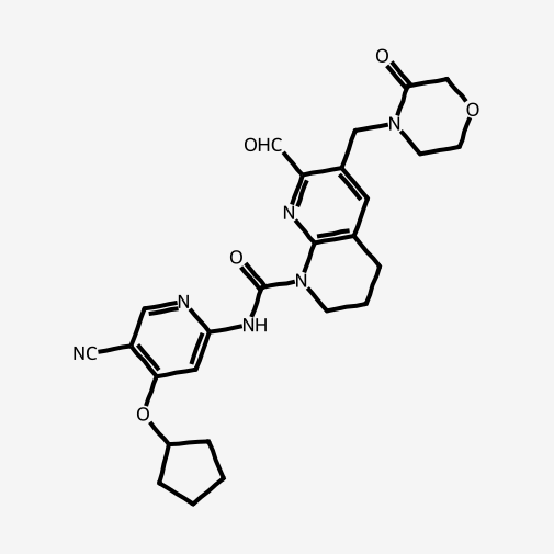 N#Cc1cnc(NC(=O)N2CCCc3cc(CN4CCOCC4=O)c(C=O)nc32)cc1OC1CCCC1